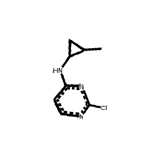 CC1CC1Nc1ccnc(Cl)n1